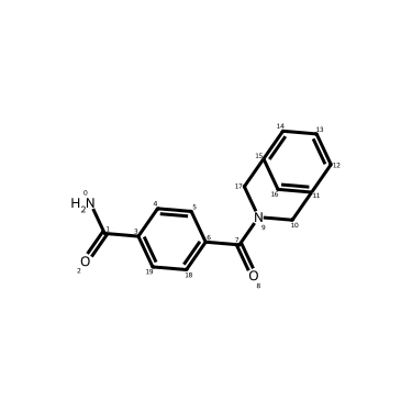 NC(=O)c1ccc(C(=O)N2Cc3cccc(c3)C2)cc1